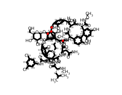 CN[C@H](CC(C)C)C(=O)N[C@H]1C(=O)N[C@@H](CC(N)=O)C(=O)N[C@H]2C(=O)N[C@H]3C(=O)N[C@H](C(=O)N[C@@H](C(=O)NOC)c4cc(O)cc(O)c4-c4cc3ccc4O)[C@H](O)c3ccc(c(Cl)c3)Oc3cc2cc(c3O[C@@H]2O[C@H](CO)[C@@H](O)[C@H](O)[C@H]2O[C@H]2C[C@](C)(NCCN3CCN(NC(=O)Nc4cc(Cl)cc(Cl)c4)CC3)[C@H](O)[C@H](C)O2)Oc2ccc(cc2Cl)[C@H]1O